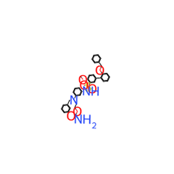 COc1ccc(-c2ccccc2OCc2ccccc2)cc1S(=O)(=O)Nc1cccc(N(CCOC(N)=O)Cc2ccccc2)c1